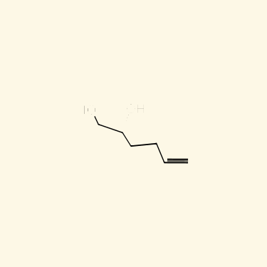 C=CCC[C@@H](O)CO